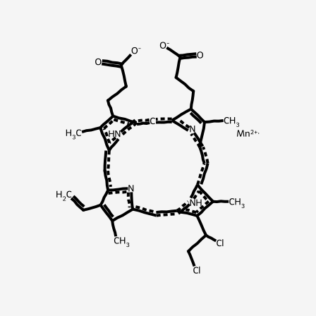 C=CC1=C(C)c2cc3[nH]c(cc4nc(cc5[nH]c(cc1n2)c(C)c5CCC(=O)[O-])C(CCC(=O)[O-])=C4C)c(C)c3C(Cl)CCl.[Mn+2]